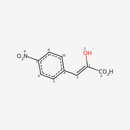 O=C(O)/C(O)=C/c1ccc([N+](=O)[O-])cc1